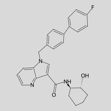 O=C(N[C@@H]1CCCC[C@H]1O)c1cn(Cc2ccc(-c3ccc(F)cc3)cc2)c2cccnc12